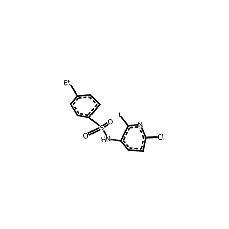 CCc1ccc(S(=O)(=O)Nc2ccc(Cl)nc2I)cc1